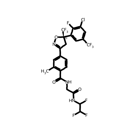 Cc1cc(C2=NO[C@@](c3cc(C(F)(F)F)cc(Cl)c3F)(C(F)(F)F)C2)ccc1C(=O)NCC(=O)NC(F)C(F)F